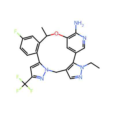 CCn1ncc2c1-c1cnc(N)c(c1)OC(C)c1cc(F)ccc1-c1cc(C(F)(F)F)nn1C2